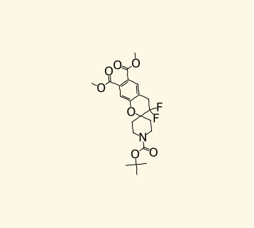 COC(=O)c1cc2c(cc1C(=O)OC)OC1(CCN(C(=O)OC(C)(C)C)CC1)C(F)(F)C2